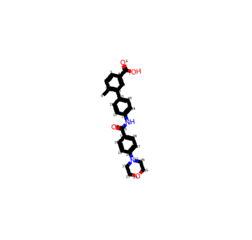 Cc1ccc(C(=O)O)cc1-c1ccc(NC(=O)c2ccc(N3CCOCC3)cc2)cc1